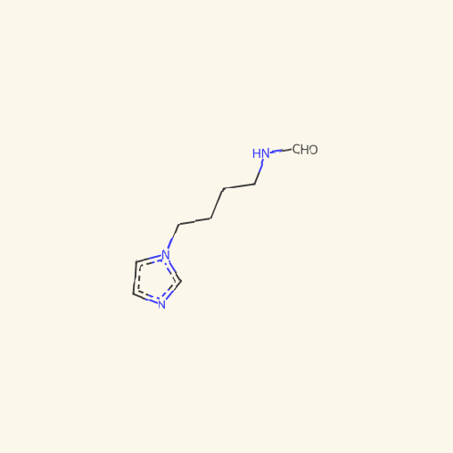 O=CNCCCCn1ccnc1